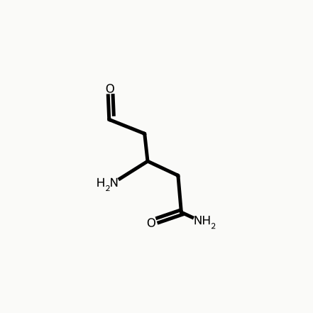 NC(=O)CC(N)CC=O